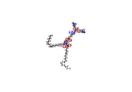 CCCCC/C=C\C/C=C\CCCCCCCCOC(=O)C1CC(OC(=O)CCCCNCC(OCCN(C)C)C(C)OCCN(C)C)CN1C(=O)CCCCCCC/C=C\C/C=C\CCCCC